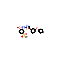 CCS(=O)(=O)c1ccc(OC)c(Nc2ncc(-c3cccc(Oc4ccccc4)c3)o2)c1